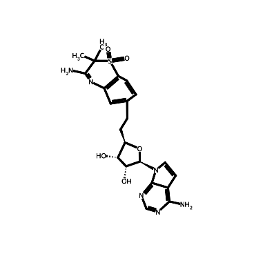 CC1(C)C(N)=Nc2cc(CC[C@H]3O[C@@H](n4ccc5c(N)ncnc54)[C@H](O)[C@@H]3O)ccc2S1(=O)=O